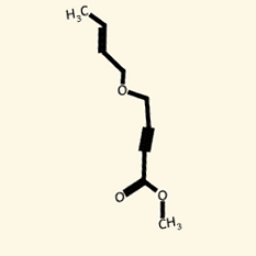 CC=CCOCC#CC(=O)OC